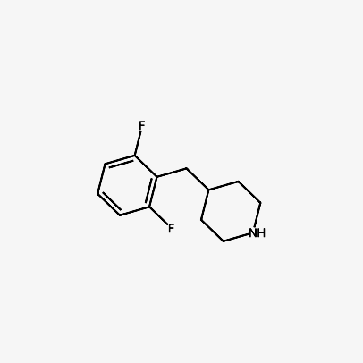 Fc1cccc(F)c1CC1CCNCC1